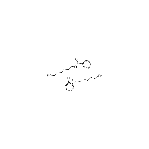 CC(C)CCCCCCOC(=O)c1ccccc1.CC(C)CCCCCCc1ccccc1C(=O)O